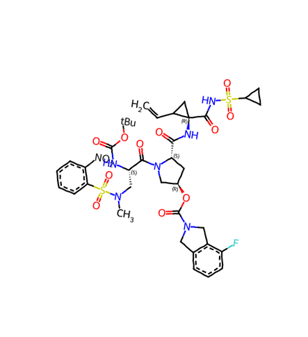 C=CC1C[C@]1(NC(=O)[C@@H]1C[C@@H](OC(=O)N2Cc3cccc(F)c3C2)CN1C(=O)[C@H](CN(C)S(=O)(=O)c1ccccc1[N+](=O)[O-])NC(=O)OC(C)(C)C)C(=O)NS(=O)(=O)C1CC1